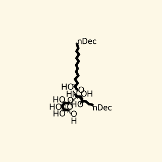 CCCCCCCCCCCCCCCCCCCCCC[C@H](O)C(=O)N[C@@H](CO[C@@H]1O[C@H](CO)[C@H](O)[C@H](O)[C@H]1O)[C@H](O)[C@H](O)CCCCCCCCCCCCC